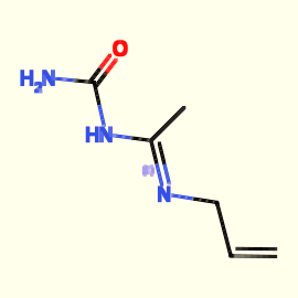 C=CC/N=C(\C)NC(N)=O